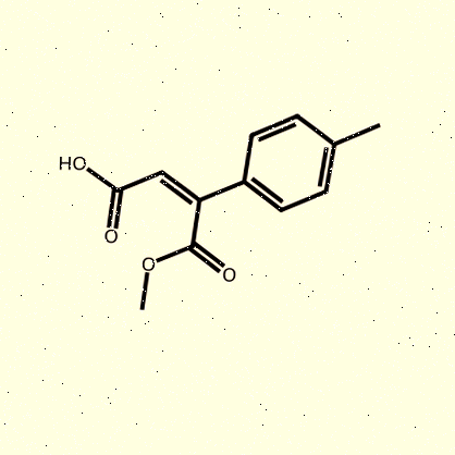 COC(=O)C(=CC(=O)O)c1ccc(C)cc1